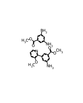 Bc1cc(N)cc(C(=O)OC)c1.COC(=O)c1cc(N)cc(-c2ncccc2OC)c1